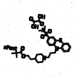 CCCCCC(C)(C)C(=O)OCCC1CCN(CCCN2c3ccccc3Sc3cc(S(=O)(=O)N(C)C)ccc32)CC1.O=C(O)C(=O)O